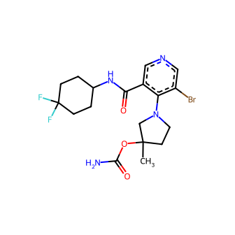 CC1(OC(N)=O)CCN(c2c(Br)cncc2C(=O)NC2CCC(F)(F)CC2)C1